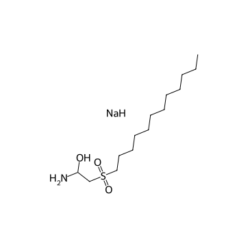 CCCCCCCCCCCCS(=O)(=O)CC(N)O.[NaH]